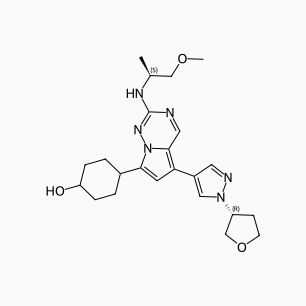 COC[C@H](C)Nc1ncc2c(-c3cnn([C@@H]4CCOC4)c3)cc(C3CCC(O)CC3)n2n1